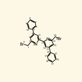 BrCc1cc(-c2ccccc2)cc(-c2cc(-c3ccccc3)cc(CBr)n2)n1